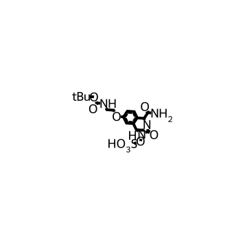 CC(C)(C)OC(=O)NCCOc1ccc2c(c1)[C@H]1CN(C(=O)N1OS(=O)(=O)O)C2C(N)=O